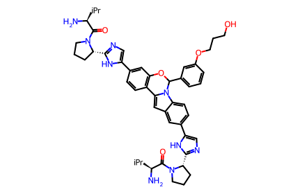 CC(C)[C@H](N)C(=O)N1CCC[C@H]1c1ncc(-c2ccc3c(c2)OC(c2cccc(OCCCO)c2)n2c-3cc3cc(-c4cnc([C@@H]5CCCN5C(=O)[C@@H](N)C(C)C)[nH]4)ccc32)[nH]1